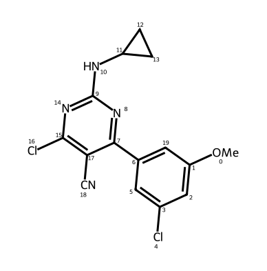 COc1cc(Cl)cc(-c2nc(NC3CC3)nc(Cl)c2C#N)c1